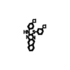 Clc1ccc(Nc2nc3cc4ccccc4cc3nc2Sc2cccc(Cl)c2)cc1